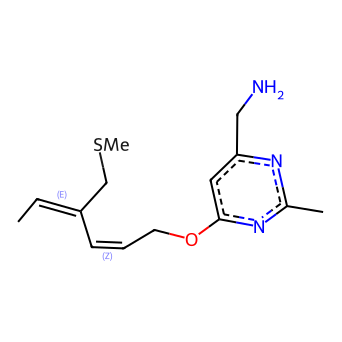 C/C=C(\C=C/COc1cc(CN)nc(C)n1)CSC